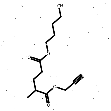 C#CCOC(=O)C(C)CCC(=O)OCCCCC#N